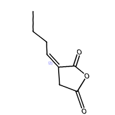 CCC/C=C1/CC(=O)OC1=O